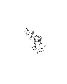 O=C(NC1CCN2CCCC2C1)c1cnn2ccc(N3CCCC3c3cc(F)ccc3F)cc12